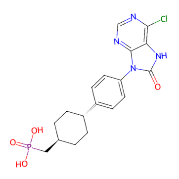 O=c1[nH]c2c(Cl)ncnc2n1-c1ccc([C@H]2CC[C@H](CP(=O)(O)O)CC2)cc1